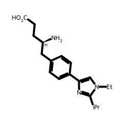 CCn1cc(-c2ccc(C[C@H](N)CCC(=O)O)cc2)nc1C(C)C